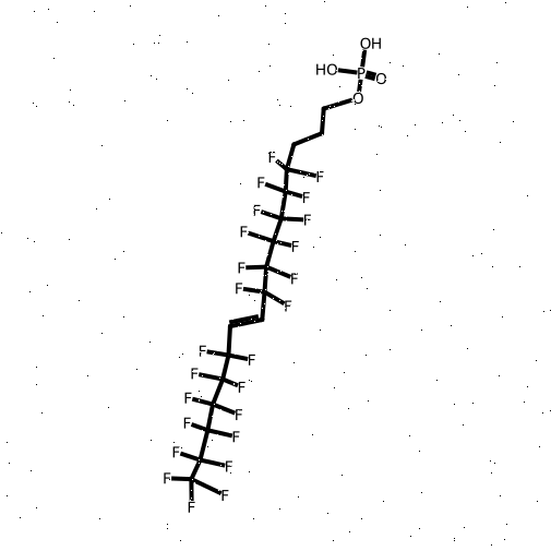 O=P(O)(O)OCCCC(F)(F)C(F)(F)C(F)(F)C(F)(F)C(F)(F)C(F)(F)C=CC(F)(F)C(F)(F)C(F)(F)C(F)(F)C(F)(F)C(F)(F)F